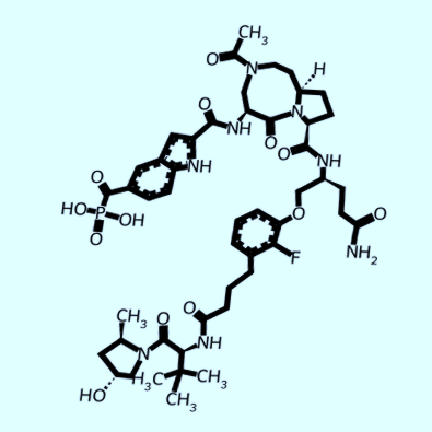 CC(=O)N1CC[C@H]2CC[C@@H](C(=O)N[C@@H](CCC(N)=O)COc3cccc(CCCC(=O)N[C@H](C(=O)N4C[C@H](O)C[C@H]4C)C(C)(C)C)c3F)N2C(=O)[C@@H](NC(=O)c2cc3cc(C(=O)P(=O)(O)O)ccc3[nH]2)C1